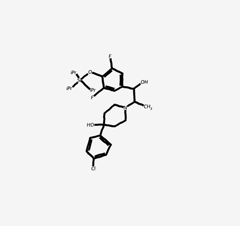 CC(C(O)c1cc(F)c(O[Si](C(C)C)(C(C)C)C(C)C)c(F)c1)N1CCC(O)(c2ccc(Cl)cc2)CC1